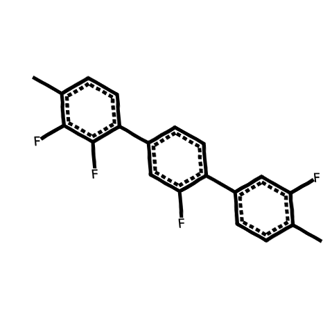 Cc1ccc(-c2ccc(-c3ccc(C)c(F)c3F)cc2F)cc1F